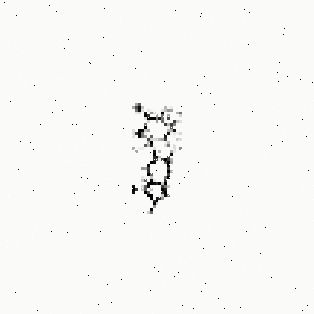 Cc1cc2cc(F)c([C@]3(C)CS(=O)(=O)N(C)C(=N)N3)cc2[nH]1